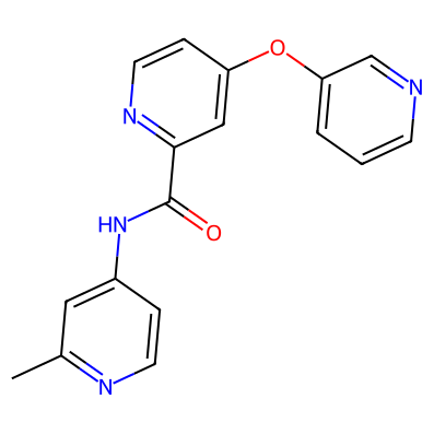 Cc1cc(NC(=O)c2cc(Oc3cccnc3)ccn2)ccn1